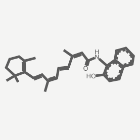 CC(C=CC1=C(C)CCCC1(C)C)=CC=CC(C)=CC(=O)Nc1c(O)ccc2ccccc12